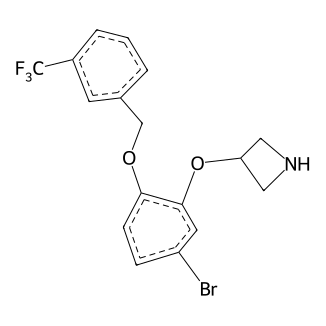 FC(F)(F)c1cccc(COc2ccc(Br)cc2OC2CNC2)c1